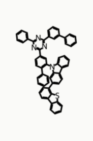 c1ccc(-c2cccc(-c3nc(-c4ccccc4)nc(-c4ccc(-c5ccccc5)c(-n5c6ccccc6c6ccc(-c7cccc8c7sc7ccccc78)cc65)c4)n3)c2)cc1